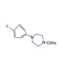 CON1CCN(c2ccc(F)cc2)CC1